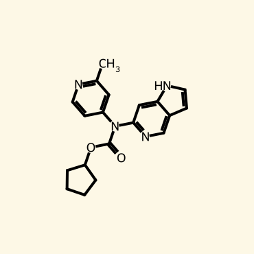 Cc1cc(N(C(=O)OC2CCCC2)c2cc3[nH]ccc3cn2)ccn1